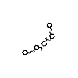 O=C(Nc1cncc(OCc2ccccc2)c1)N1CCN(C(=O)c2cccc(OCCC3CCCCC3)c2)CC1